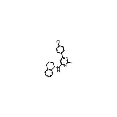 Cc1nc(N[C@@H]2CCCc3ccccc32)cc(-c2ccc(Cl)cc2)n1